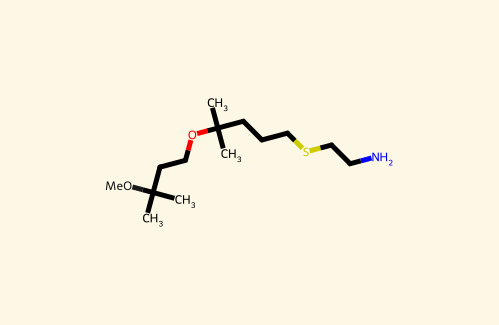 COC(C)(C)CCOC(C)(C)CCCSCCN